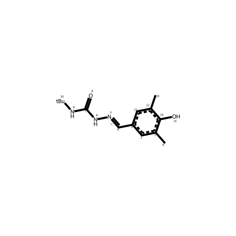 Cc1cc(/C=N/NC(=O)NC(C)(C)C)cc(C)c1O